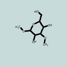 COC1OC(CO)C(O)C(OC)C1O